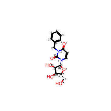 O=c1ccn([C@@H]2O[C@H](CO)C(O)C2O)c(=O)n1Cc1ccccc1